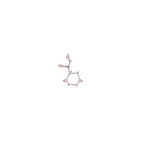 O=CC(=O)C1COCCO1